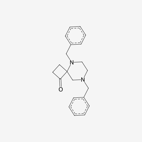 O=C1CCC12CN(Cc1ccccc1)CCN2Cc1ccccc1